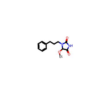 CCOC1C(=O)NC(=O)N1CCCc1ccccc1